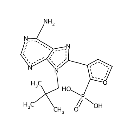 CC(C)(C)Cn1c(-c2ccoc2P(=O)(O)O)nc2c(N)ncnc21